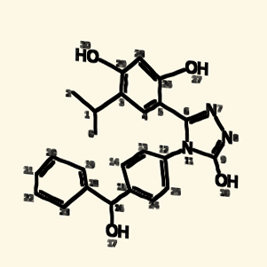 CC(C)c1cc(-c2nnc(O)n2-c2ccc(C(O)c3ccccc3)cc2)c(O)cc1O